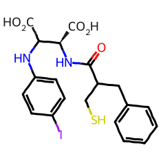 O=C(N[C@H](C(=O)O)C(Nc1ccc(I)cc1)C(=O)O)C(CS)Cc1ccccc1